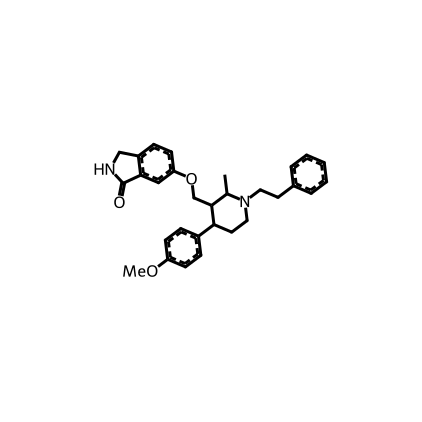 COc1ccc(C2CCN(CCc3ccccc3)C(C)C2COc2ccc3c(c2)C(=O)NC3)cc1